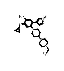 Cn1cc(-c2cc(N)c(OC3CC3)cc2N2CCC(N3CCN(CC(F)(F)F)CC3)CC2)cn1